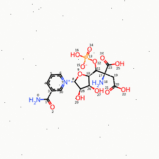 NC(=O)c1ccc[n+]([C@@H]2O[C@@H](C(OP(=O)([O-])O)[C@@](N)(CC(=O)O)C(=O)O)[C@@H](O)[C@H]2O)c1